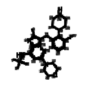 Cc1nc2c(NC(C)(C)C)cc(N3CCOCC3)nn2c1Cc1cccc(F)c1C1CCNCC1